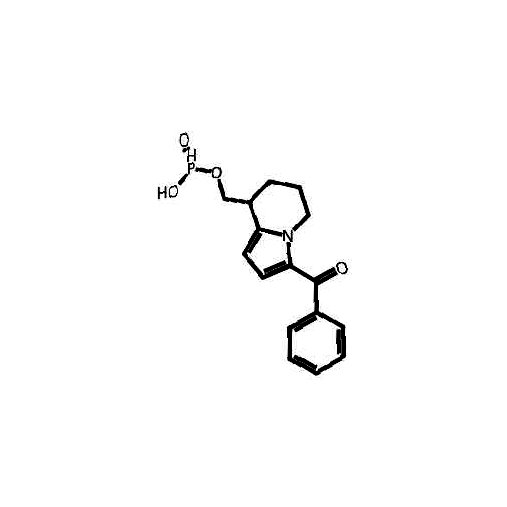 O=C(c1ccccc1)c1ccc2n1CCCC2CO[PH](=O)O